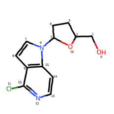 OCC1CCC(n2ccc3c(Cl)nccc32)O1